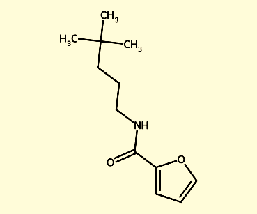 CC(C)(C)CCCNC(=O)c1ccco1